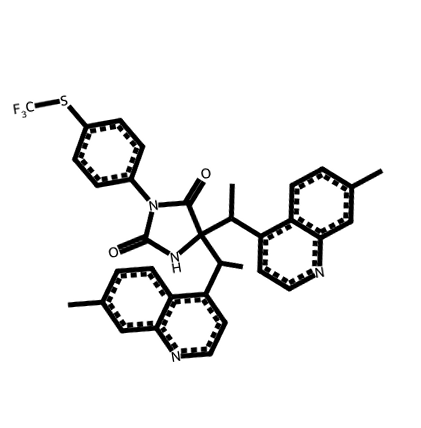 Cc1ccc2c(C(C)C3(C(C)c4ccnc5cc(C)ccc45)NC(=O)N(c4ccc(SC(F)(F)F)cc4)C3=O)ccnc2c1